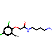 CCC(C)c1cc(Cl)cc(Cl)c1OCC(=O)NCCCCN